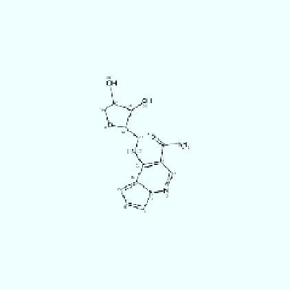 NC(=O)c1cnn2cccc2c1NCC1OCC(O)C1O